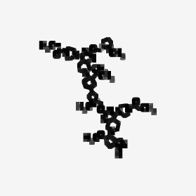 C=CC(=O)N1CCN(c2nc(OC[C@@H]3CCCN3C)nc3c2CCN(c2ccc(C4C[C@@H](COc5nc6c(c(N7CCN(C(=O)C=C)CC7)n5)CCN(c5c(OC)ccc7[nH]ncc57)C6)N(C)C4)cc2C(C)C)C3)CC1